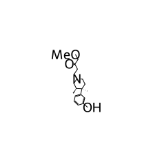 COCC(=O)CCN1CC[C@@](C)(c2cccc(O)c2)[C@@H](C)C1